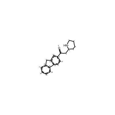 O=C(CC1CCCCN1)c1ccc2c(c1)Cc1ccccc1-2